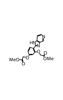 COC(=O)COc1ccc(-c2nc3cnccc3[nH]2)c(OCC(=O)OC)c1